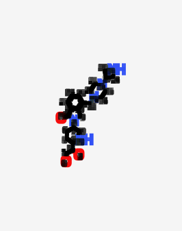 O=CC(=O)C1CCC(N2Cc3c(CN4CCN(C5CNC5)CC4)cccc3C2=O)CN1